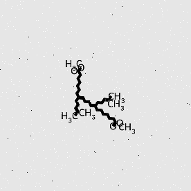 COC(=O)CCCCCCC(=CCCC=C(CCC=C(C)C)CCCCCCC(=O)OC)CCC=C(C)C